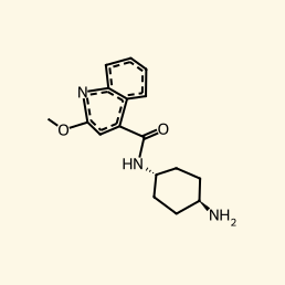 COc1cc(C(=O)N[C@H]2CC[C@H](N)CC2)c2ccccc2n1